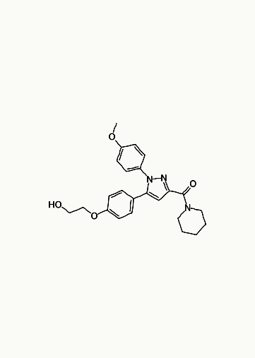 COc1ccc(-n2nc(C(=O)N3CCCCC3)cc2-c2ccc(OCCO)cc2)cc1